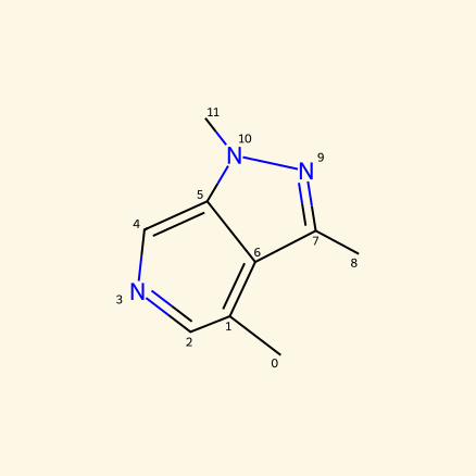 Cc1cncc2c1c(C)nn2C